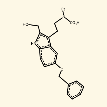 CCN(CCc1c(CO)[nH]c2ccc(OCc3ccccc3)cc12)C(=O)O